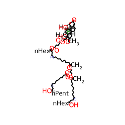 C=C(CCCCCCC/C=C\C[C@H](O)CCCCCC)OCC(COC(=C)CCCCCCC/C=C\C[C@@H](CCCCCC)OC(=O)CCC(=O)OCC(=O)[C@@]1(O)[C@H](C)C[C@H]2[C@@H]3CCC4=CC(=O)C=C[C@]4(C)[C@@]3(F)[C@@H](O)C[C@@]21C)OC(=O)CCCCCC/C=C\C[C@H](O)CCCCC